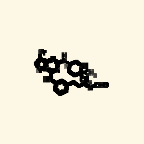 CC(C)c1cnn2c(Nc3cccc(CCC=NC=O)c3)nc(N[C@H]3CCC(C)(C)NC3)nc12